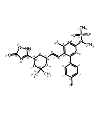 CC(C)c1nc(N(C)S(C)(=O)=O)nc(-c2ccc(F)cc2)c1/C=C/[C@@H]1C[C@H](c2nc(=O)o[nH]2)OC(C)(C)O1